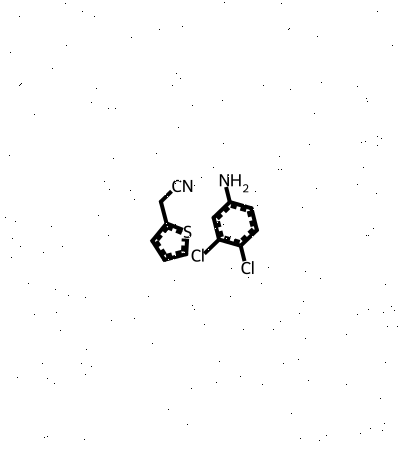 N#CCc1cccs1.Nc1ccc(Cl)c(Cl)c1